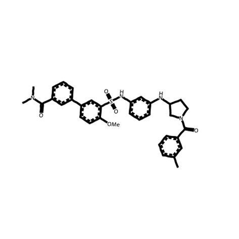 COc1ccc(-c2cccc(C(=O)N(C)C)c2)cc1S(=O)(=O)Nc1cccc(NC2CCN(C(=O)c3cccc(C)c3)C2)c1